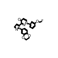 O=c1ccn(-c2cccc(OCF)c2)nc1-c1ccnn1-c1ccc2c(c1)OCCO2